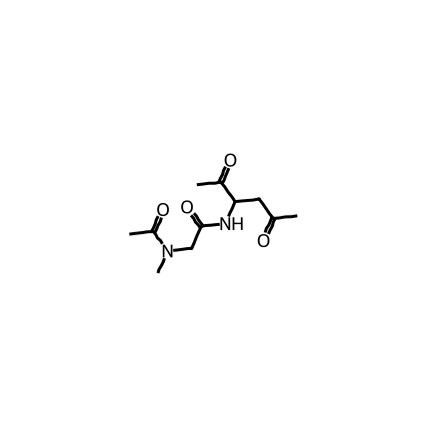 CC(=O)CC(NC(=O)CN(C)C(C)=O)C(C)=O